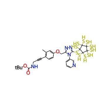 Cc1cc(OCc2nnc(SC3(S)C(S)(S)C(S)(S)C(S)(S)C3(S)S)n2-c2cccnc2)ccc1C#CCNC(=O)OC(C)(C)C